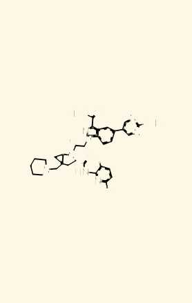 CC(=O)c1nn(CC(=O)N2C3CC3(CN3CCCCC3)C[C@H]2C(=O)Nc2nc(Br)ccc2C)c2ccc(-c3cnc(C)nc3)cc12